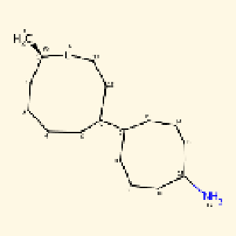 C[C@@H]1CCCCC(C2CCCC(N)CCC2)CCC1